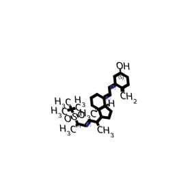 C=C1CC[C@H](O)C/C1=C/C=C1\CCC[C@]2(C)C(C(C)/C=C/[C@@H](C)S(=O)(=O)C(C)(C)C)CC[C@@H]12